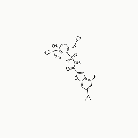 CC(C)(C)c1ccc(OC2CC2)c(S(=O)(=O)NC(=O)c2cc3c(F)cc(C4CC4)cc3o2)c1